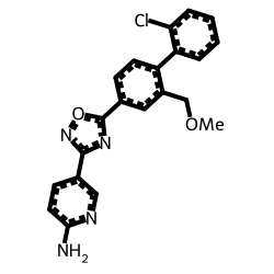 COCc1cc(-c2nc(-c3ccc(N)nc3)no2)ccc1-c1ccccc1Cl